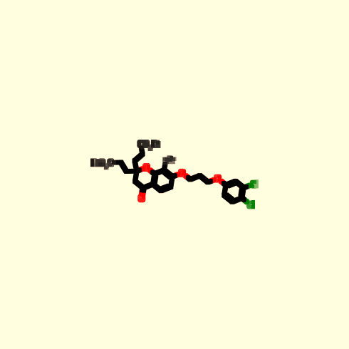 CCCc1c(OCCCOc2ccc(Cl)c(Cl)c2)ccc2c1OC(CCC(=O)OCC)(CCC(=O)OCC)CC2=O